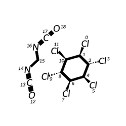 Cl[C@H]1[C@H](Cl)[C@@H](Cl)[C@@H](Cl)[C@H](Cl)[C@H]1Cl.O=C=NCN=C=O